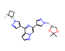 C[C@@H]1CC[C@@H]1n1cc(-c2nc(-c3cnn(C[C@@H]4COC(C)(C)O4)c3)cn3nccc23)cn1